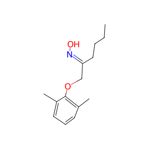 CCCCC(COc1c(C)cccc1C)=NO